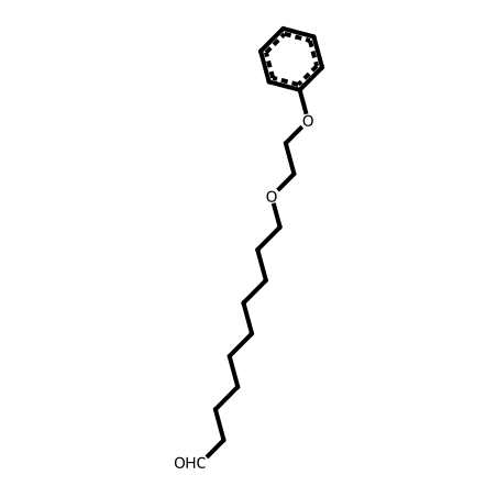 O=CCCCCCCCCCOCCOc1ccccc1